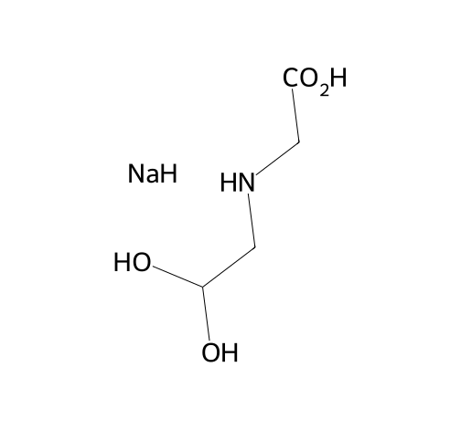 O=C(O)CNCC(O)O.[NaH]